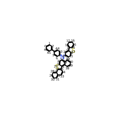 c1ccc(-c2ccc(N(c3ccc4sc5ccccc5c4c3)c3cc4sc5c6ccccc6ccc5c4c4ccccc34)cc2)cc1